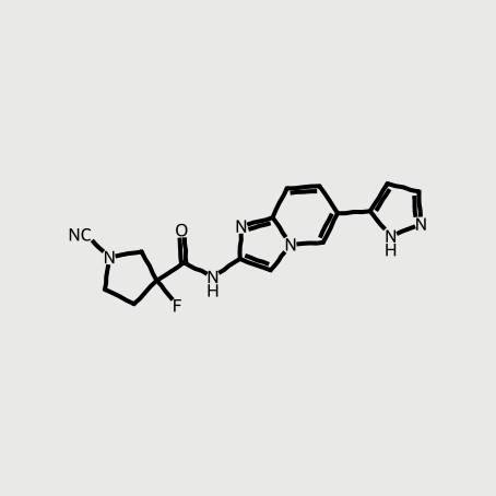 N#CN1CCC(F)(C(=O)Nc2cn3cc(-c4ccn[nH]4)ccc3n2)C1